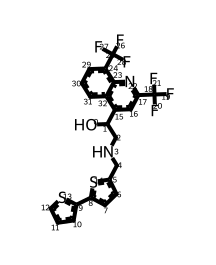 OC(CNCc1ccc(-c2cccs2)s1)c1cc(C(F)(F)F)nc2c(C(F)(F)F)cccc12